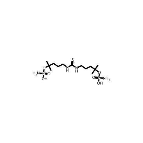 CC(C)(CCCNC(=S)NCCCC(C)(C)OP(N)(=O)O)OP(N)(=O)O